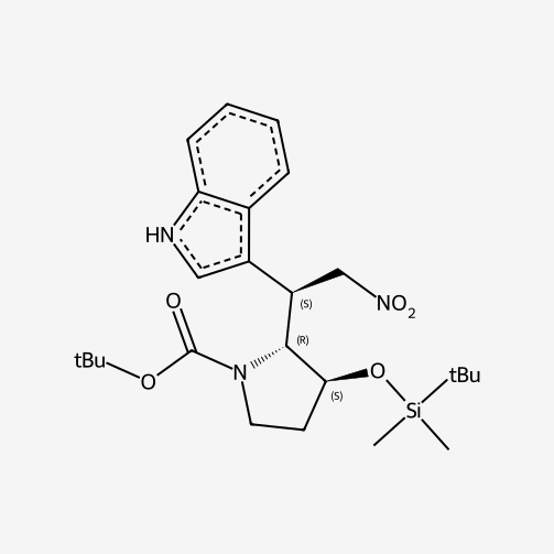 CC(C)(C)OC(=O)N1CC[C@H](O[Si](C)(C)C(C)(C)C)[C@H]1[C@H](C[N+](=O)[O-])c1c[nH]c2ccccc12